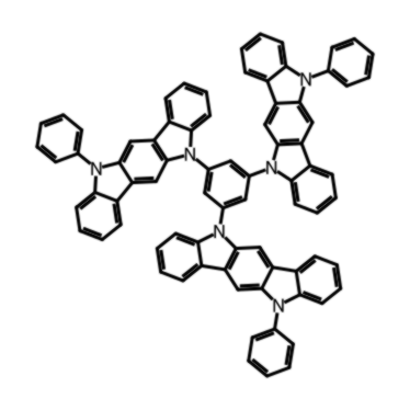 c1ccc(-n2c3ccccc3c3cc4c(cc32)c2ccccc2n4-c2cc(-n3c4ccccc4c4cc5c(cc43)c3ccccc3n5-c3ccccc3)cc(-n3c4ccccc4c4cc5c(cc43)c3ccccc3n5-c3ccccc3)c2)cc1